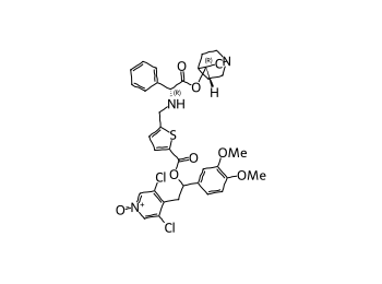 COc1ccc(C(Cc2c(Cl)c[n+]([O-])cc2Cl)OC(=O)c2ccc(CN[C@@H](C(=O)O[C@H]3CN4CCC3CC4)c3ccccc3)s2)cc1OC